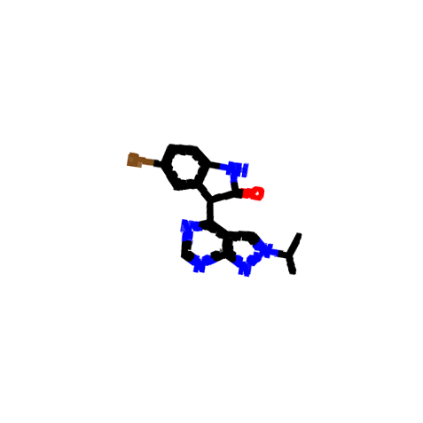 CC(C)n1cc2c(C3C(=O)Nc4ccc(Br)cc43)ncnc2n1